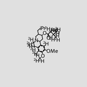 [2H]c1c(OC)c(OC([2H])([2H])[2H])c([2H])c2c1C1CC(OC(=O)[C@@]([2H])(N)C([2H])(C([2H])([2H])[2H])C([2H])([2H])[2H])C(CC(C)C)CN1C([2H])([2H])C2([2H])[2H]